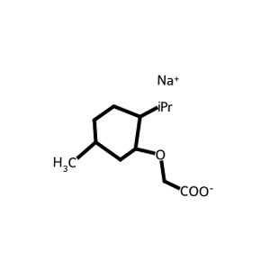 CC1CCC(C(C)C)C(OCC(=O)[O-])C1.[Na+]